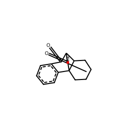 O=C1NC23CCCCC2C1C(=O)c1ccccc13